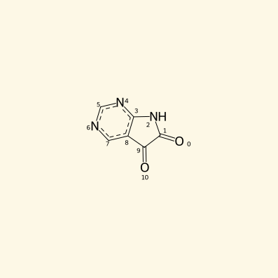 O=C1Nc2ncncc2C1=O